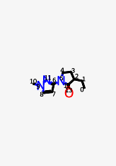 CCC1CCN(c2ccn(C)n2)C1=O